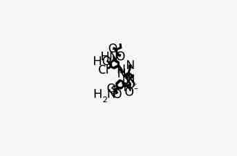 CCC(=O)C(=O)Nc1cc(/N=N/c2c(C#N)cnn2-c2ccc(S(N)(=O)=O)cc2[N+](=O)[O-])cc(Cl)c1O